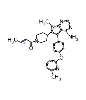 C/C=C/C(=O)N1CCC(c2c(-c3ccc(Oc4cccc(C)n4)cc3)c3c(N)ncnc3n2C)CC1